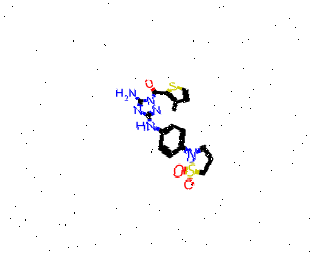 Cc1ccsc1C(=O)n1nc(Nc2ccc(N3CCCS3(=O)=O)cc2)nc1N